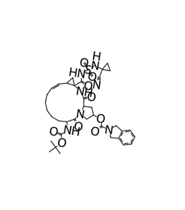 CC(C)(C)OC(=O)NC1CCCCCC=CC2CC2(C(=O)NS(=O)(=O)NC2(C#N)CC2)NC(=O)C2CC(OC(=O)N3Cc4ccccc4C3)CN2C1=O